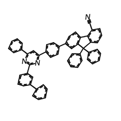 N#Cc1cccc2c1-c1ccc(-c3ccc(-c4cc(-c5ccccc5)nc(-c5cccc(-c6ccccc6)c5)n4)cc3)cc1C2(c1ccccc1)c1ccccc1